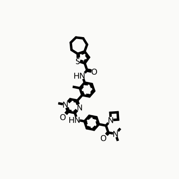 Cc1c(NC(=O)c2cc3c(s2)CCCCC3)cccc1-c1cn(C)c(=O)c(Nc2ccc(C(C(=O)N(C)C)N3CCC3)cc2)n1